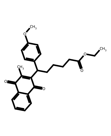 CCOC(=O)CCCCC(C1=C(C)C(=O)c2ccccc2C1=O)c1ccc(OC)cc1